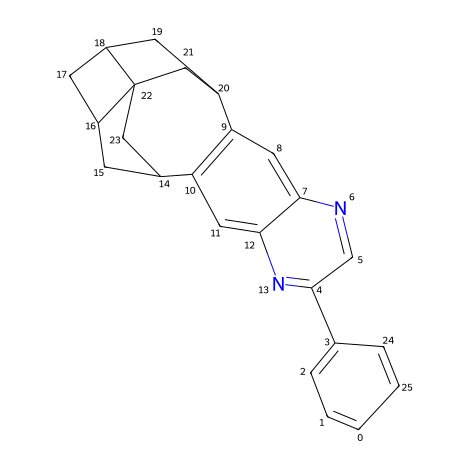 c1ccc(-c2cnc3cc4c(cc3n2)C2CC3CC5CC4CC53C2)cc1